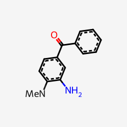 CNc1ccc(C(=O)c2ccccc2)cc1N